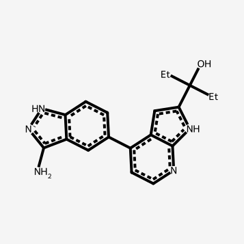 CCC(O)(CC)c1cc2c(-c3ccc4[nH]nc(N)c4c3)ccnc2[nH]1